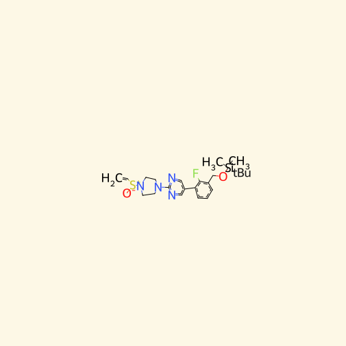 C=C[S+]([O-])N1CCN(c2ncc(-c3cccc(CO[Si](C)(C)C(C)(C)C)c3F)cn2)CC1